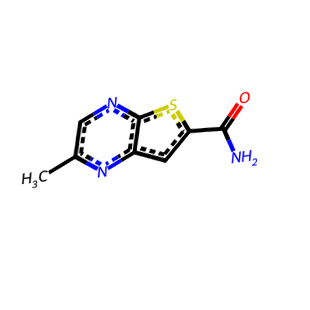 Cc1cnc2sc(C(N)=O)cc2n1